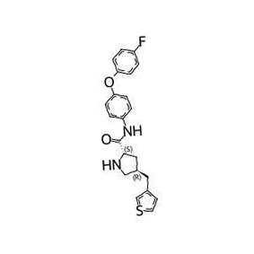 O=C(Nc1ccc(Oc2ccc(F)cc2)cc1)[C@@H]1C[C@@H](Cc2ccsc2)CN1